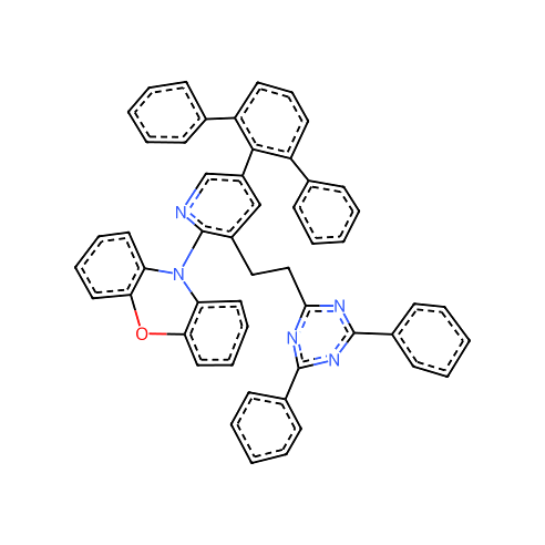 c1ccc(-c2nc(CCc3cc(-c4c(-c5ccccc5)cccc4-c4ccccc4)cnc3N3c4ccccc4Oc4ccccc43)nc(-c3ccccc3)n2)cc1